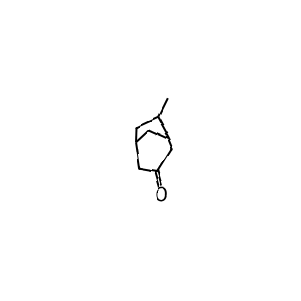 CC1CC2CC(=O)CC1C2